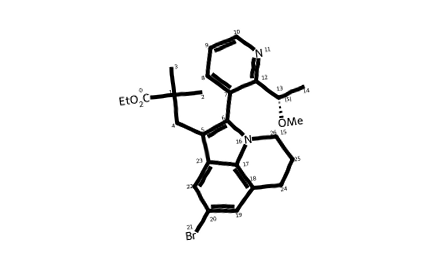 CCOC(=O)C(C)(C)Cc1c(-c2cccnc2[C@H](C)OC)n2c3c(cc(Br)cc13)CCC2